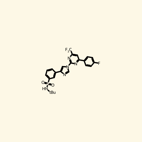 CC(C)(C)NS(=O)(=O)c1cccc(-c2cn(-c3nc(-c4ccc(F)cc4)cc(C(F)(F)F)n3)cn2)c1